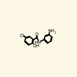 Nc1cccc(NC(=O)c2cc(Cl)ccc2O)c1